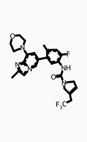 Cc1cn2cc(-c3cc(NC(=O)N4CC=C(CC(F)(F)F)C4)c(F)cc3C)cc(N3CCOCC3)c2n1